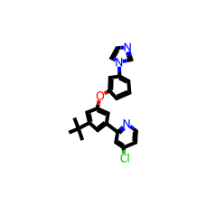 CC(C)(C)c1cc(Oc2cccc(-n3ccnc3)c2)cc(-c2cc(Cl)ccn2)c1